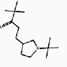 CC(C)(C)C(=O)CCC1CCN(C(C)(C)C)C1